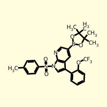 Cc1ccc(S(=O)(=O)n2cc(-c3ccccc3OC(F)(F)F)c3cc(B4OC(C)(C)C(C)(C)O4)cnc32)cc1